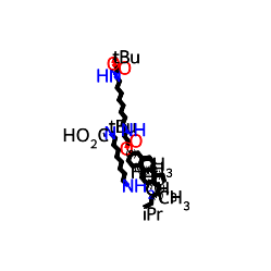 CC(C)(C)N(CCCCCCCCN)C(=O)O.CC(C)CCC[C@@H](C)[C@H]1CC[C@H]2[C@@H]3CC=C4C[C@@H](OC(=O)CNCCCCCCCCNC(=O)OC(C)(C)C)CC[C@]4(C)[C@H]3CC[C@]12C